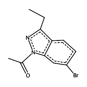 CCc1nn(C(C)=O)c2cc(Br)ccc12